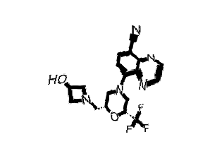 N#Cc1ccc(N2C[C@@H](CN3CC(O)C3)O[C@@H](C(F)(F)F)C2)c2nccnc12